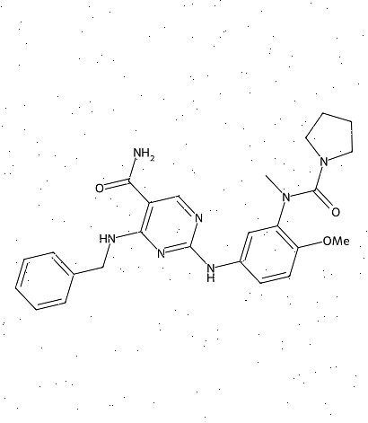 COc1ccc(Nc2ncc(C(N)=O)c(NCc3ccccc3)n2)cc1N(C)C(=O)N1CCCC1